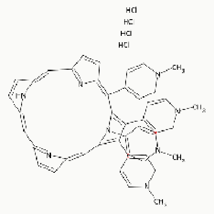 CN1C=CC(c2c(C3=CCN(C)C=C3)c3c(C4=CCN(C)C=C4)c4nc(cc5ccc(cc6nc(cc2n3C2=CCN(C)C=C2)C=C6)[nH]5)C=C4)=CC1.Cl.Cl.Cl.Cl